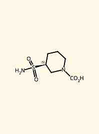 NS(=O)(=O)[C@H]1CCCN(C(=O)O)C1